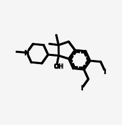 CN1CCC(C2(O)c3cc(CI)c(CI)cc3CC2(C)C)CC1